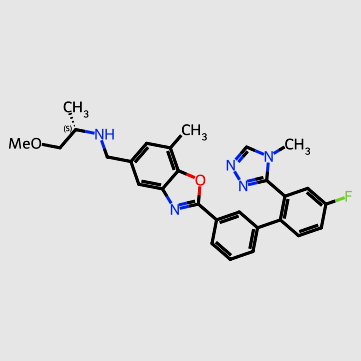 COC[C@H](C)NCc1cc(C)c2oc(-c3cccc(-c4ccc(F)cc4-c4nncn4C)c3)nc2c1